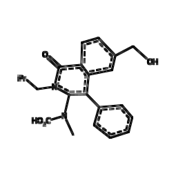 CC(C)Cn1c(N(C)C(=O)O)c(-c2ccccc2)c2cc(CO)ccc2c1=O